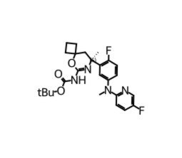 CN(c1ccc(F)c([C@]2(C)CC3(CCC3)OC(NC(=O)OC(C)(C)C)=N2)c1)c1ccc(F)cn1